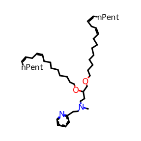 CCCCC/C=C\C/C=C\CCCCCCCCOCC(CCN(C)CCc1ccccn1)OCCCCCCCC/C=C\C/C=C\CCCCC